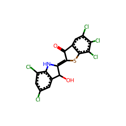 O=C1/C(=C2\Nc3c(Cl)cc(Cl)cc3C2O)Sc2c1cc(Cl)c(Cl)c2Cl